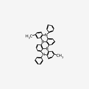 Cc1ccc2c(c1)B1c3cccc4c3B(c3cc(C)ccc3N4c3ccccc3)c3cccc(c31)N2c1ccccc1